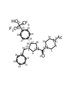 CC(=O)N1CCN(C(=O)N2C[C@@H](Cc3ccccc3)[C@H](c3ccc(C(O)(C(F)(F)F)C(F)(F)F)cc3)C2)CC1